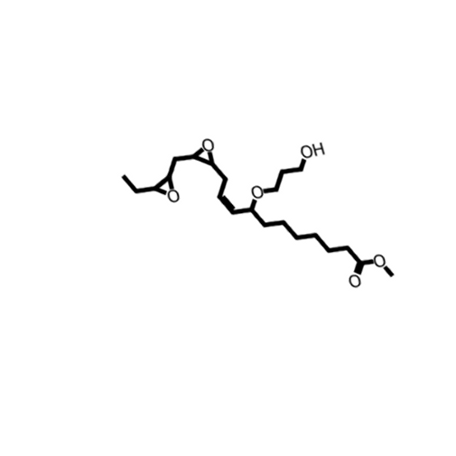 CCC1OC1CC1OC1C/C=C\C(CCCCCCC(=O)OC)OCCCO